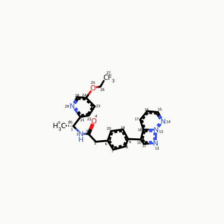 C[C@@H](NC(=O)Cc1ccc(-c2cnn3ncccc23)cc1)c1ccc(OCC(F)(F)F)cn1